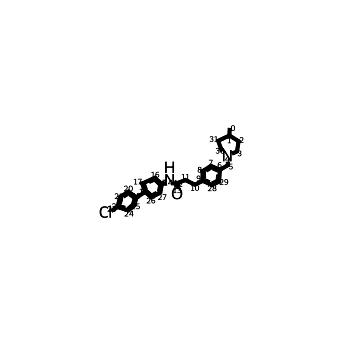 CC1CCN(Cc2ccc(CCC(=O)Nc3ccc(-c4ccc(Cl)cc4)cc3)cc2)CC1